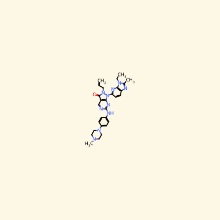 C=CCn1c(=O)c2cnc(Nc3ccc(N4CCN(C)CC4)cc3)nc2n1-c1ccc2nc(C)n(CC)c2n1